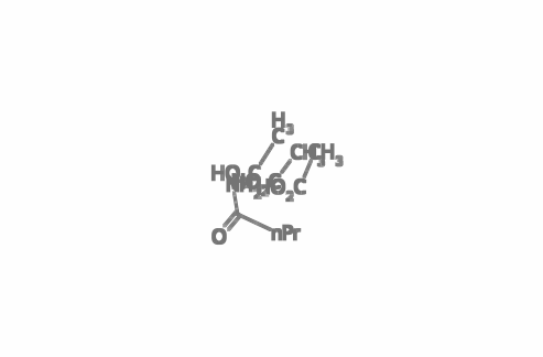 CC(=O)O.CC(=O)O.CC(=O)O.CCCC(N)=O